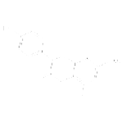 COc1cc(O)c2c(c1)OC(c1ccc(O)cc1)C(=O)C2